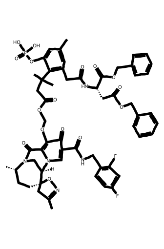 CC1=NO[C@@]2(CC[C@H](C)N3C[C@H]2n2cc(C(=O)NCc4ccc(F)cc4F)c(=O)c(OCOC(=O)CC(C)(C)c4c(CC(=O)N[C@@H](CC(=O)OCc5ccccc5)C(=O)OCc5ccccc5)cc(C)cc4OP(=O)(O)O)c2C3=O)C1